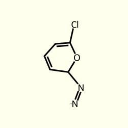 [N]=NC1C=CC=C(Cl)O1